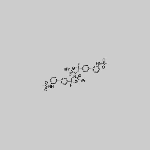 CCCS(=O)(=O)N(CC(C)(F)c1ccc(-c2cccc(NS(C)(=O)=O)c2)cc1)N(C[C@@](C)(F)c1ccc(-c2cccc(NS(C)(=O)=O)c2)cc1)S(=O)(=O)CCC